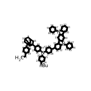 C=Cc1ccc(C23CC4CC(C2)CC(c2ccc(N(c5ccc(CCCC)cc5)c5ccc(-c6ccc7c(c6)c6cc8c(cc6n7-c6ccccc6)c6ccccc6n8-c6ccccc6)cc5)cc2)(C4)C3)cc1